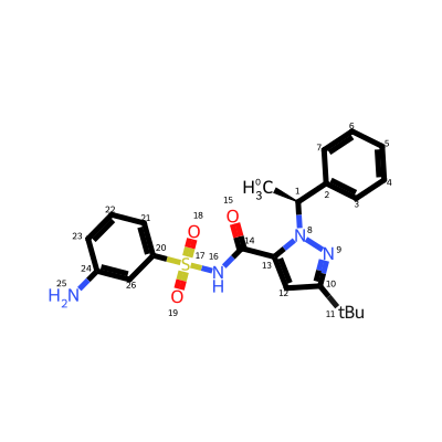 C[C@@H](c1ccccc1)n1nc(C(C)(C)C)cc1C(=O)NS(=O)(=O)c1cccc(N)c1